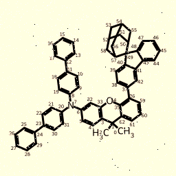 CC1(C)c2ccc(N(c3ccc(-c4ccccc4)cc3)c3ccc(-c4ccccc4)cc3)cc2Oc2c(-c3ccc4c(c3)-c3ccccc3C43C4CC5CC(C4)CC3C5)cccc21